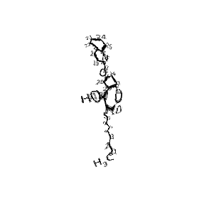 CCCCCCCCSC1COc2ccc(OCc3ccc4ccccc4n3)cc2C1O